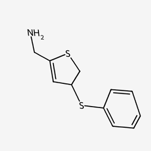 NCC1=CC(Sc2ccccc2)CS1